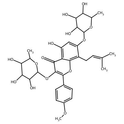 COc1ccc(-c2oc3c(CC=C(C)C)c(OC4OC(C)C(O)C(O)C4O)cc(O)c3c(=O)c2OC2OC(C)C(O)C(O)C2O)cc1